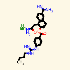 CCCCNC(=N)Nc1ccc(C(=O)Oc2ccc3cc(C(=N)N)ccc3c2CC(N)=O)cc1.Cl.Cl